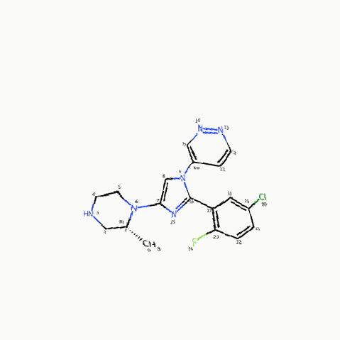 C[C@@H]1CNCCN1c1cn(-c2ccnnc2)c(-c2cc(Cl)ccc2F)n1